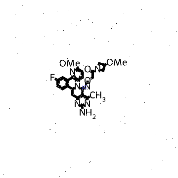 COc1cccc(-c2cc(F)ccc2C2Cc3nc(N)nc(C)c3/C(=N/OCC(=O)N3CC(OC)C3)N2)n1